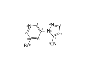 N#Cc1ccnn1-c1cncc(Br)c1